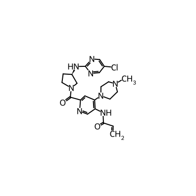 C=CC(=O)Nc1cnc(C(=O)N2CC[C@@H](Nc3ncc(Cl)cn3)C2)cc1N1CCN(C)CC1